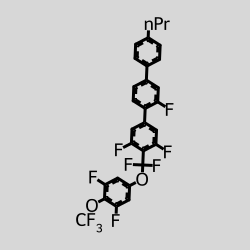 CCCc1ccc(-c2ccc(-c3cc(F)c(C(F)(F)Oc4cc(F)c(OC(F)(F)F)c(F)c4)c(F)c3)c(F)c2)cc1